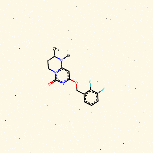 CCN1c2cc(OCc3cccc(F)c3F)nc(=O)n2CCC1C